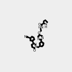 N#Cc1cccc(-c2ccc(=O)n(Cc3cccc(-c4ncc(OCCNC(=O)C5CCCN5)cn4)c3)n2)c1